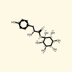 N[C@@H](Cc1ccc(O)cc1)C(=O)O[C@]1(O)[C@H](O)[C@H](O)[C@@H](O)[C@H](O)[C@H]1O